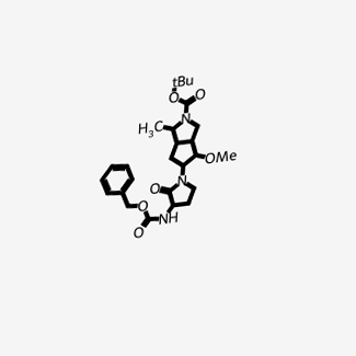 COC1C2CN(C(=O)OC(C)(C)C)C(C)C2CC1N1CCC(NC(=O)OCc2ccccc2)C1=O